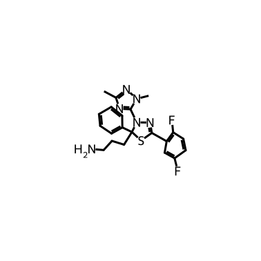 Cc1nc(N2N=C(c3cc(F)ccc3F)SC2(CCCN)c2ccccc2)n(C)n1